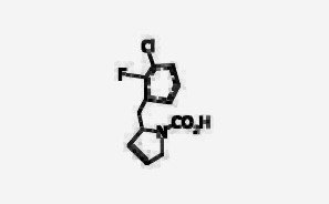 O=C(O)N1CC=CC1Cc1cccc(Cl)c1F